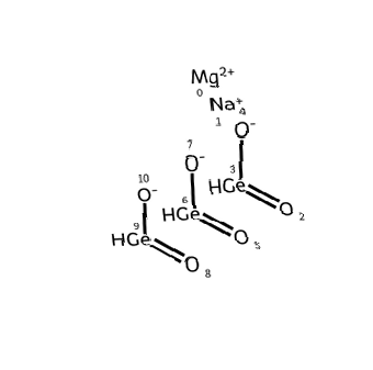 [Mg+2].[Na+].[O]=[GeH][O-].[O]=[GeH][O-].[O]=[GeH][O-]